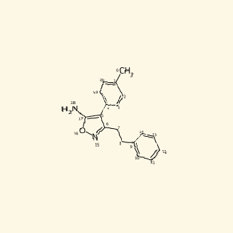 Cc1ccc(-c2c(CCc3ccccc3)noc2N)cc1